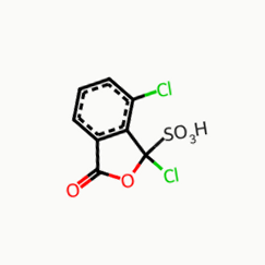 O=C1OC(Cl)(S(=O)(=O)O)c2c(Cl)cccc21